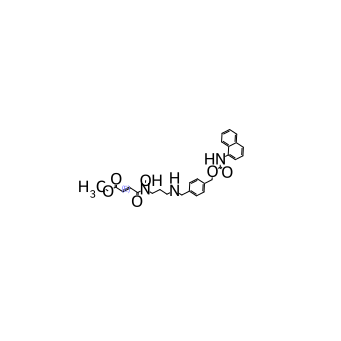 COC(=O)/C=C/C(=O)N(O)CCCNCc1ccc(COC(=O)Nc2cccc3ccccc23)cc1